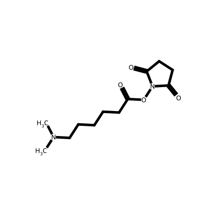 CN(C)CCCCCC(=O)ON1C(=O)CCC1=O